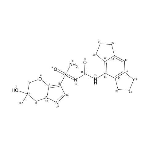 CC1(O)COc2c(S(N)(=O)=NC(=O)Nc3c4c(cc5c3CCC5)CCC4)cnn2C1